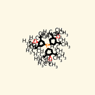 CC(C)(C)c1cc(P(c2cc(C(C)(C)C)c(O[Si](C)(C)C)c(C(C)(C)C)c2)c2cc(C(C)(C)C)c(O[Si](C)(C)C)c(C(C)(C)C)c2)cc(C(C)(C)C)c1O[Si](C)(C)C